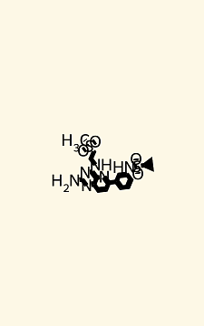 CS(=O)(=O)CCNc1nc(N)nc2ccc(-c3cccc(NS(=O)(=O)C4CC4)c3)nc12